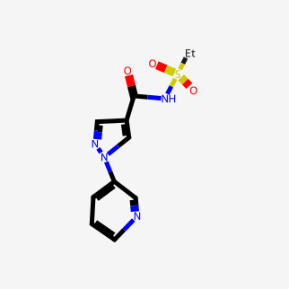 CCS(=O)(=O)NC(=O)c1cnn(-c2cccnc2)c1